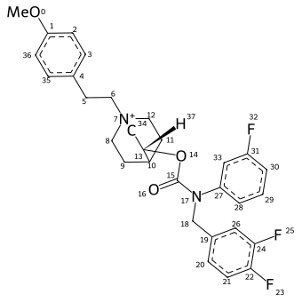 COc1ccc(CC[N+]23CCC(CC2)[C@@H](OC(=O)N(Cc2ccc(F)c(F)c2)c2cccc(F)c2)C3)cc1